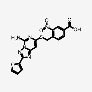 Nc1nc(SCc2ccc(C(=O)O)cc2[N+](=O)[O-])cc2nc(-c3ccco3)nn12